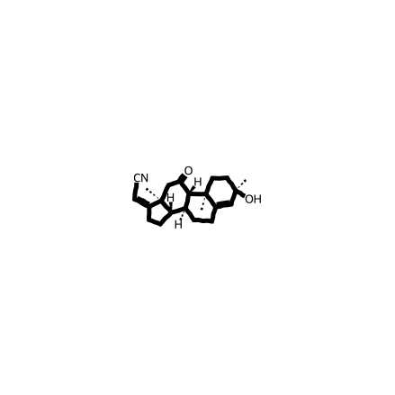 C[C@]1(O)C=C2CC[C@@H]3[C@H](C(=O)C[C@]4(C)/C(=C\C#N)CC[C@@H]34)[C@@]2(C)CC1